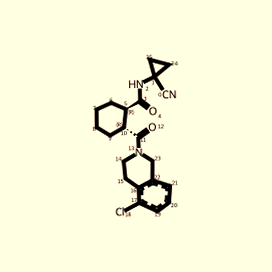 N#CC1(NC(=O)[C@@H]2CCCC[C@H]2C(=O)N2CCc3c(Cl)cccc3C2)CC1